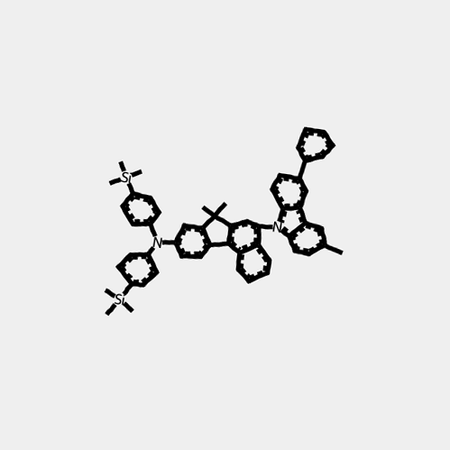 Cc1ccc2c(c1)c1cc(-c3ccccc3)ccc1n2-c1cc2c(c3ccccc13)-c1ccc(N(c3ccc([Si](C)(C)C)cc3)c3ccc([Si](C)(C)C)cc3)cc1C2(C)C